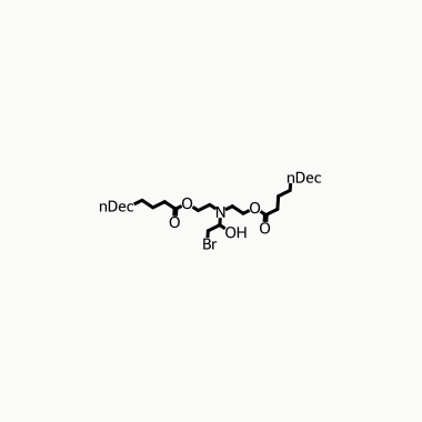 CCCCCCCCCCCCCC(=O)OCCN(CCOC(=O)CCCCCCCCCCCCC)C(O)CBr